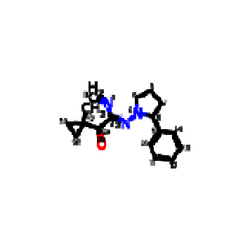 C=N/C(=N\N1CCCC1c1ccccc1)C(=O)C1(C)CC1